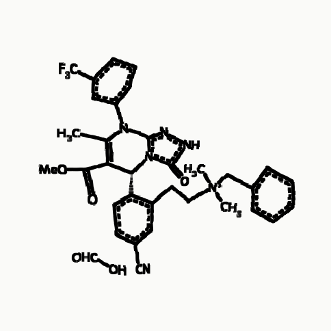 COC(=O)C1=C(C)N(c2cccc(C(F)(F)F)c2)c2n[nH]c(=O)n2[C@@H]1c1ccc(C#N)cc1CC[N+](C)(C)Cc1ccccc1.O=CO